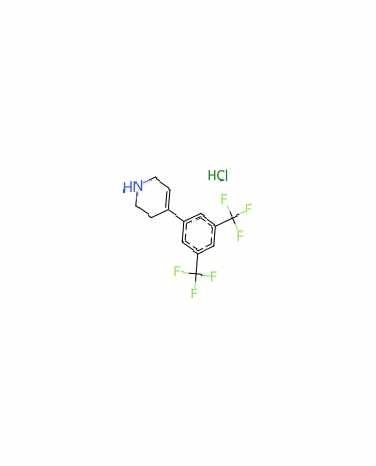 Cl.FC(F)(F)c1cc(C2=CCNCC2)cc(C(F)(F)F)c1